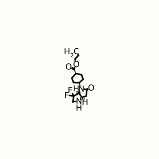 C=CCOC(=O)[C@H]1CC[C@@H](N2C(=O)C[C@@H]3NCC(F)(F)[C@@H]32)CC1